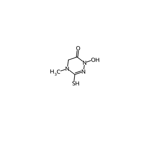 CN1CC(=O)N(O)N=C1S